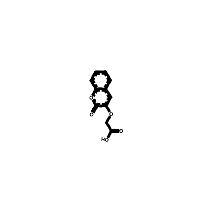 O=C(O)COc1[c]c2ccccc2oc1=O